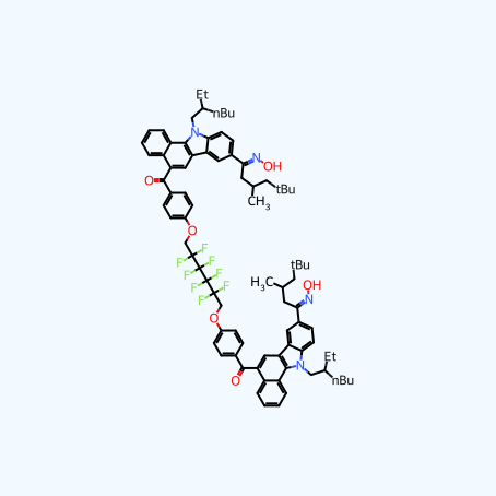 CCCCC(CC)Cn1c2ccc(/C(CC(C)CC(C)(C)C)=N/O)cc2c2cc(C(=O)c3ccc(OCC(F)(F)C(F)(F)C(F)(F)C(F)(F)COc4ccc(C(=O)c5cc6c7cc(/C(CC(C)CC(C)(C)C)=N/O)ccc7n(CC(CC)CCCC)c6c6ccccc56)cc4)cc3)c3ccccc3c21